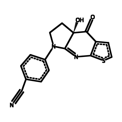 N#Cc1ccc(N2CC[C@@]3(O)C(=O)c4ccsc4N=C23)cc1